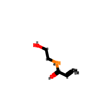 C=CC(=O)PCCO